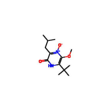 COc1c(C(C)(C)C)[nH]c(=O)c(CC(C)C)[n+]1[O-]